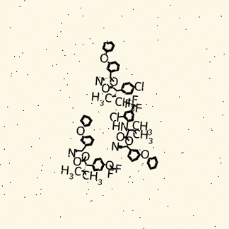 CC(C)C(Nc1ccc(C(F)(F)F)cc1Cl)C(=O)OC(C#N)c1cccc(Oc2ccccc2)c1.CC(C)[C@H](C(=O)OC(C#N)c1cccc(Oc2ccccc2)c1)c1ccc(OC(F)F)cc1.CC(C)[C@H](C(=O)O[C@H](C#N)c1cccc(Oc2ccccc2)c1)c1ccc(Cl)cc1